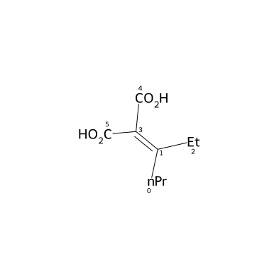 CCCC(CC)=C(C(=O)O)C(=O)O